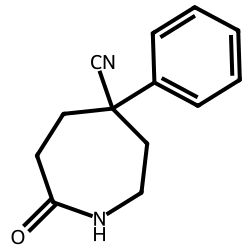 N#CC1(c2ccccc2)CCNC(=O)CC1